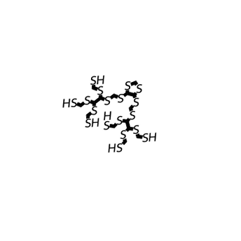 SCSC(SCS)C(SCS)SCSC1SCSC1SCSC(SCS)C(SCS)SCS